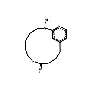 N[C@H]1CCCCCNC(=O)CCCc2ccnc1c2